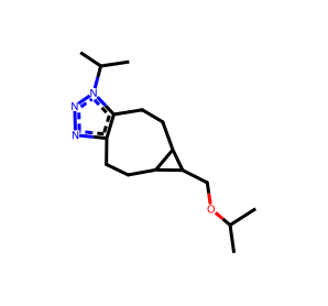 CC(C)OCC1C2CCc3nnn(C(C)C)c3CCC21